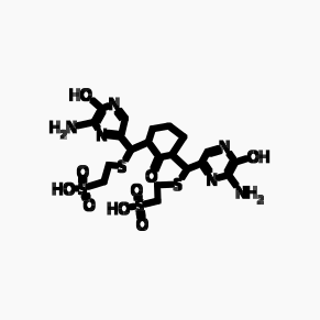 Nc1nc(C(SCCS(=O)(=O)O)C2CCCC(C(SCCS(=O)(=O)O)c3cnc(O)c(N)n3)C2=O)cnc1O